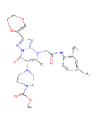 CCc1c(N2CCN(C(=O)OC(C)(C)C)CC2)c(=O)n2nc(C3=COCCO3)nc2n1CC(=O)Nc1ccc(C(F)(F)F)cc1C